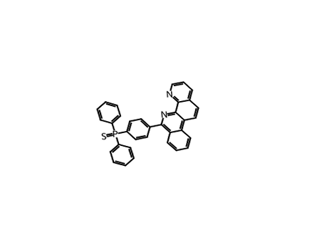 S=P(c1ccccc1)(c1ccccc1)c1ccc(-c2nc3c(ccc4cccnc43)c3ccccc23)cc1